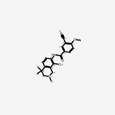 COc1ccc(C(=O)Nc2ccc3c(c2Cl)CN(C)CC3(C)C)cc1C#N